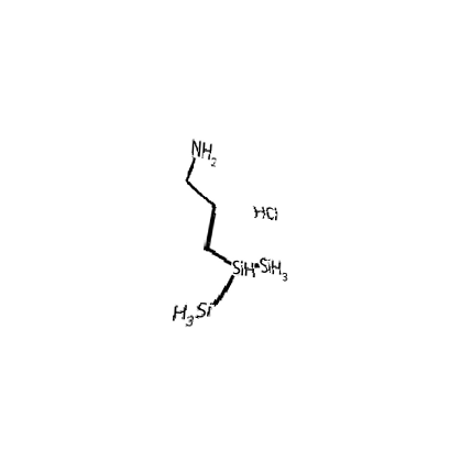 Cl.NCCC[SiH]([SiH3])[SiH3]